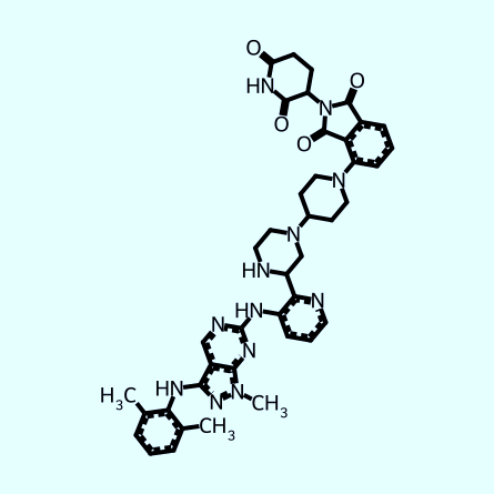 Cc1cccc(C)c1Nc1nn(C)c2nc(Nc3cccnc3C3CN(C4CCN(c5cccc6c5C(=O)N(C5CCC(=O)NC5=O)C6=O)CC4)CCN3)ncc12